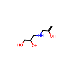 C=C(O)CNCC(O)CO